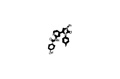 CC(C)n1cc(-c2ccnc(NC(=O)[C@H]3CC[C@@H](O)CC3)c2)n(-c2ccc(F)cc2)c1=O